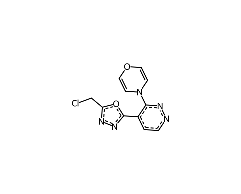 ClCc1nnc(-c2ccnnc2N2C=COC=C2)o1